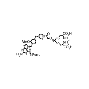 CCCCCNc1nc(N)nc2ccn(Cc3ccc(CN4CCN(C(=O)CON=C(CSC[C@H](N)C(=O)O)CSC[C@H](N)C(=O)O)CC4)cc3OC)c12